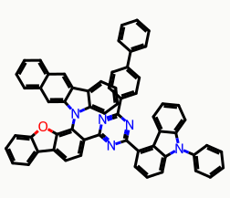 c1ccc(-c2ccc(-c3nc(-c4ccc5c(oc6ccccc65)c4-n4c5ccccc5c5cc6ccccc6cc54)nc(-c4cccc5c4c4ccccc4n5-c4ccccc4)n3)cc2)cc1